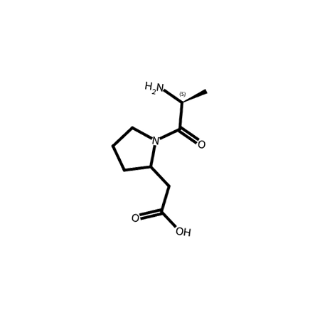 C[C@H](N)C(=O)N1CCCC1CC(=O)O